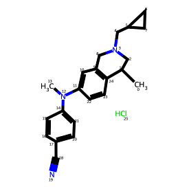 CC1CN(CC2CC2)Cc2cc(N(C)c3ccc(C#N)cc3)ccc21.Cl